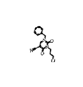 N#Cc1cn(Cc2ccccc2)c(=O)n(CCCCl)c1=O